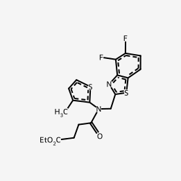 CCOC(=O)CCC(=O)N(Cc1nc2c(F)c(F)ccc2s1)c1sccc1C